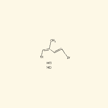 CCC=C(C)C=[CH][Zr].Cl.Cl